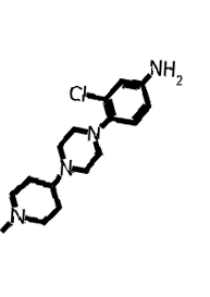 CN1CCC(N2CCN(c3ccc(N)cc3Cl)CC2)CC1